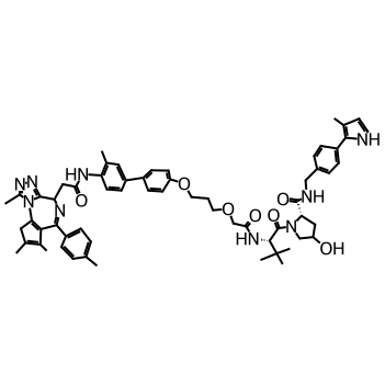 CC1=C(C)C2=C(C1)n1c(C)nnc1C(CC(=O)Nc1ccc(-c3ccc(OCCCOCC(=O)N[C@H](C(=O)N4CC(O)C[C@H]4C(=O)NCc4ccc(-c5[nH]ccc5C)cc4)C(C)(C)C)cc3)cc1C)N=C2c1ccc(C)cc1